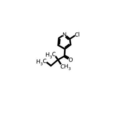 CCC(C)(C)C(=O)c1ccnc(Cl)c1